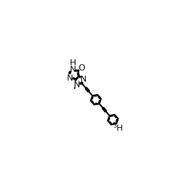 [3H]c1ccc(C#Cc2ccc(C#Cc3nc4c(=O)[nH]cnc4n3C)cc2)cc1